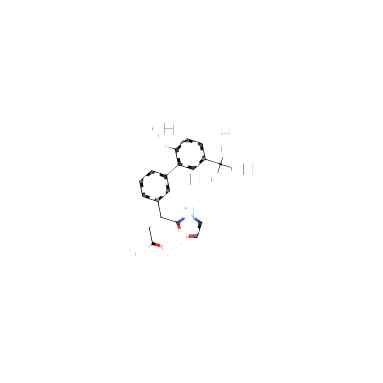 COc1ccc(C(C)(C)C)cc1-c1cccc([C@H](CC(=O)O)c2ncco2)c1